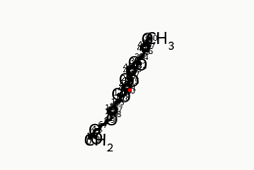 C=CC(=O)OCCCCOc1ccc(/C=C/C(=O)Oc2ccc(S(=O)(=O)c3ccc(OC(=O)/C=C/c4ccc(OC)cc4)cc3)cc2)cc1